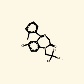 CCC(N)(CC)CN1C(=O)CN=C(c2ccccc2F)c2cc(Cl)ccc21